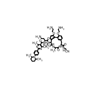 Cc1nc(-c2ccc(N3C(C)CCCC3C)cc2)nc(C)c1C(=O)NC(CCN)C(=O)N(C)C1C(=O)NC(C)C(=O)NC(C(=O)NCC#N)Cc2ccc(OCCN)c(c2)-c2cc1ccc2OCCN